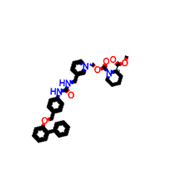 COC(=O)[C@@H]1CCCCN1C(=O)OC[n+]1cccc(CNC(=O)Nc2ccc(COc3ccccc3-c3ccccc3)cc2)c1